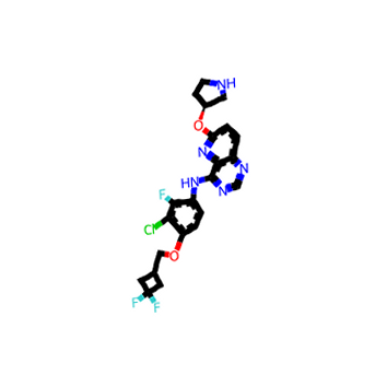 Fc1c(Nc2ncnc3ccc(O[C@H]4CCNC4)nc23)ccc(OCC2CC(F)(F)C2)c1Cl